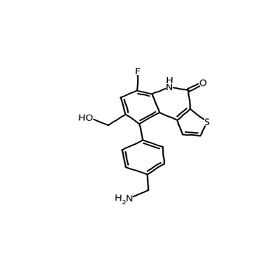 NCc1ccc(-c2c(CO)cc(F)c3[nH]c(=O)c4sccc4c23)cc1